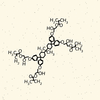 C=C(C)C(=O)OCC(O)COc1ccc(C2(c3ccc(OCC(O)COC(=O)C(=C)C)cc3)CCC(C(C)(C)C3CCC(c4ccc(OCC(O)COC(=O)C(=C)C)cc4)(c4ccc(OCC(O)COC(=O)C(=C)C)cc4)CC3)CC2)cc1